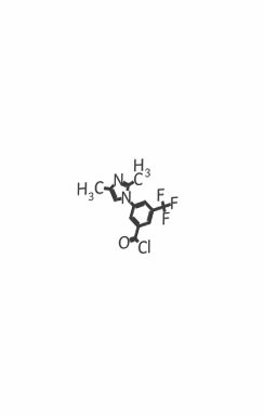 Cc1cn(-c2cc(C(=O)Cl)cc(C(F)(F)F)c2)c(C)n1